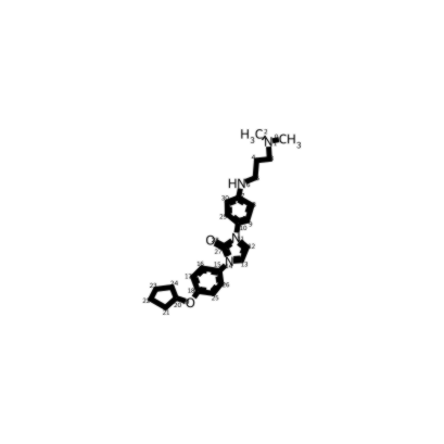 CN(C)CCCNc1ccc(-n2ccn(-c3ccc(OC4CCCC4)cc3)c2=O)cc1